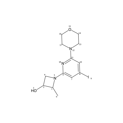 CC1C(O)CN1c1cc(I)cc(N2CCOCC2)n1